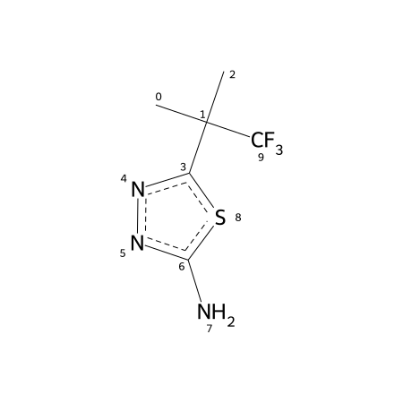 CC(C)(c1nnc(N)s1)C(F)(F)F